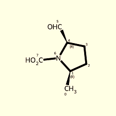 C[C@@H]1CC[C@H](C=O)N1C(=O)O